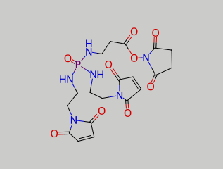 O=C(CCNP(=O)(NCCN1C(=O)C=CC1=O)NCCN1C(=O)C=CC1=O)ON1C(=O)CCC1=O